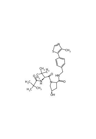 Cc1ncsc1-c1ccc(CNC(=O)C2C[C@@H](O)CN2C(=O)[C@@H](NC(=O)C(C)(C)C)C(C)(C)C)cc1